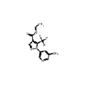 CCOC(=O)c1cnn(-c2cncc(C)c2)c1C(F)(F)F